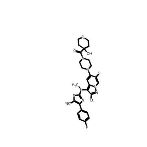 CCc1nn2cc(F)c(N3CCN(C(=O)C4(O)CCOCC4)CC3)cc2c1N(C)c1nc(-c2ccc(F)cc2)c(C#N)s1